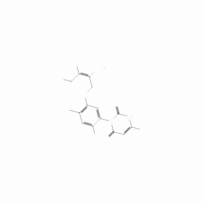 COC(COc1cc(-n2c(=O)cc(C(F)(F)F)[nH]c2=O)c(F)cc1Cl)=C(CC(F)(F)F)C(=O)O